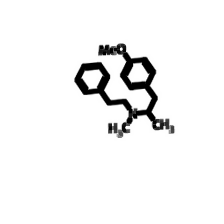 COc1ccc(CC(C)N(C)CCc2ccccc2)cc1